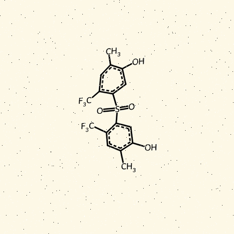 Cc1cc(C(F)(F)F)c(S(=O)(=O)c2cc(O)c(C)cc2C(F)(F)F)cc1O